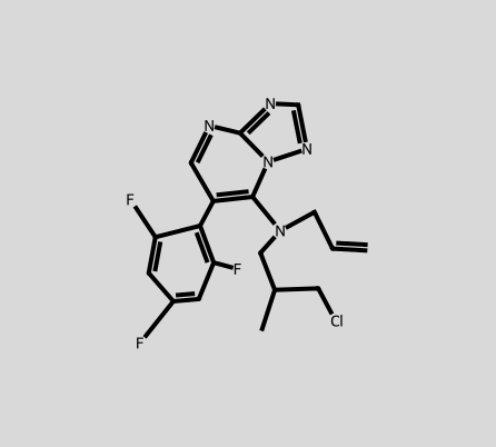 C=CCN(CC(C)CCl)c1c(-c2c(F)cc(F)cc2F)cnc2ncnn12